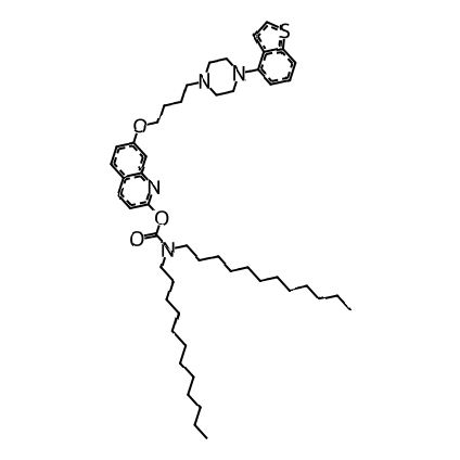 CCCCCCCCCCCCN(CCCCCCCCCCCC)C(=O)Oc1ccc2ccc(OCCCCN3CCN(c4cccc5sccc45)CC3)cc2n1